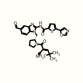 CC(C)(C)C=C(C#N)C(=O)N1CCC[C@@H]1Cn1c(NC(=O)c2ccc(-c3cnco3)s2)nc2cc(C=O)ccc21